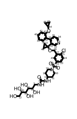 O=C(NC[C@H](O)[C@@H](O)[C@H](O)[C@H](O)CO)NC1CCN(S(=O)(=O)c2ccc(Cl)c(COC3(c4cnccc4-c4ccccc4OC4CC4)CC3)c2)CC1